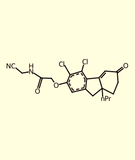 CCCC12CCC(=O)C=C1c1c(cc(OCC(=O)NCC#N)c(Cl)c1Cl)C2